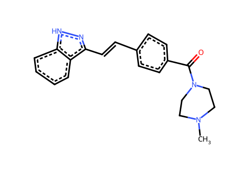 CN1CCN(C(=O)c2ccc(C=Cc3n[nH]c4ccccc34)cc2)CC1